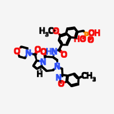 COc1cc(C(=O)N[C@H]2CN(Cc3noc4ccc(C)cc34)CC[C@H]3CC[C@@H](C(=O)N4CCOCC4)N3C2=O)cc2cc(CP(=O)(O)O)ccc12